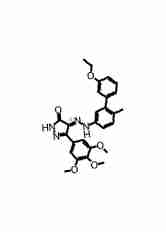 CCOc1cccc(-c2cc(N/N=C3/C(=O)NN=C3c3cc(OC)c(OC)c(OC)c3)ccc2C)c1